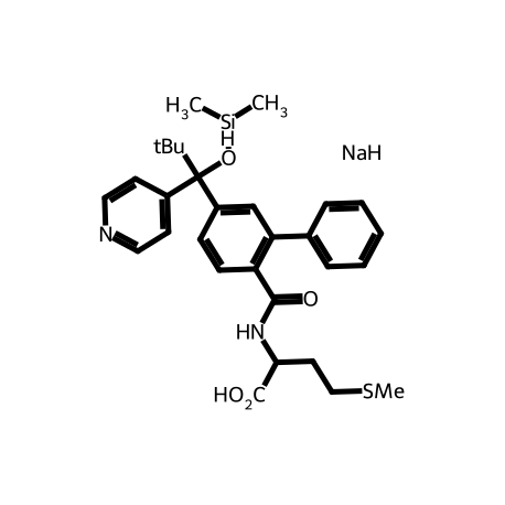 CSCCC(NC(=O)c1ccc(C(O[SiH](C)C)(c2ccncc2)C(C)(C)C)cc1-c1ccccc1)C(=O)O.[NaH]